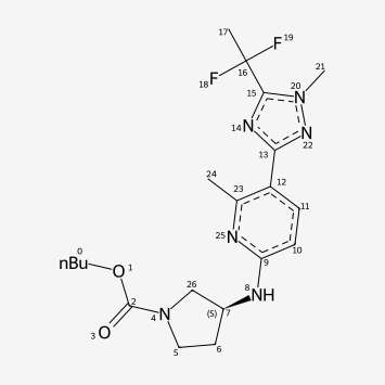 CCCCOC(=O)N1CC[C@H](Nc2ccc(-c3nc(C(C)(F)F)n(C)n3)c(C)n2)C1